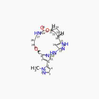 Cn1nccc1-c1cc2nc(c1)Nc1cc([nH]n1)[C@H]1CC[C@H](C1)OC(=O)NCCCOC2